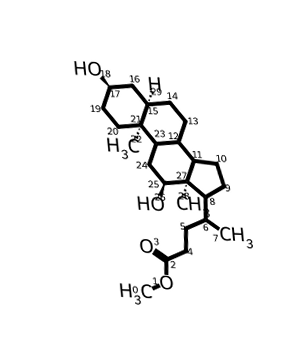 COC(=O)CCC(C)C1CCC2C3CC[C@@H]4C[C@H](O)CC[C@]4(C)C3C[C@H](O)[C@]12C